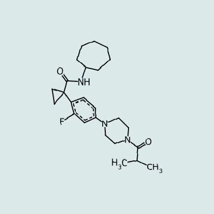 CC(C)C(=O)N1CCN(c2ccc(C3(C(=O)NC4CCCCCC4)CC3)c(F)c2)CC1